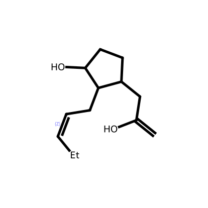 C=C(O)CC1CCC(O)C1C/C=C\CC